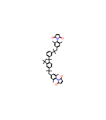 Cc1cc(CC(C)(C)c2cccc(C3(C)CC(C)(C)c4cc(C(C)(C)Cc5cc(C)c(N6C(=O)C=CC6=O)c(C)c5)ccc43)c2)cc(C)c1N1C(=O)C=CC1=O